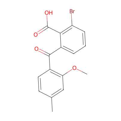 COc1cc(C)ccc1C(=O)c1cccc(Br)c1C(=O)O